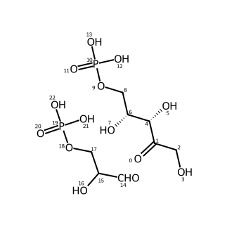 O=C(CO)[C@@H](O)[C@H](O)COP(=O)(O)O.O=CC(O)COP(=O)(O)O